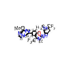 CCN(C(=O)NC1CCC(C(F)(F)F)N(C)C1)C(c1cccc(-c2cn3ccnc3c(OC)n2)c1)C(F)(F)F